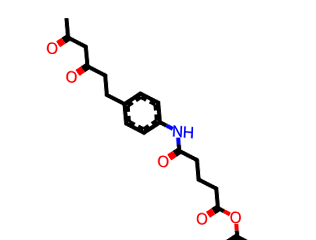 C=C(C)OC(=O)CCCC(=O)Nc1ccc(CCC(=O)CC(C)=O)cc1